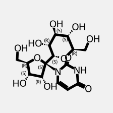 O=c1ccn([C@]2([C@H]3O[C@H](CO)[C@@H](O)[C@H](O)[C@H]3O)O[C@H](CO)[C@@H](O)[C@H]2O)c(=O)[nH]1